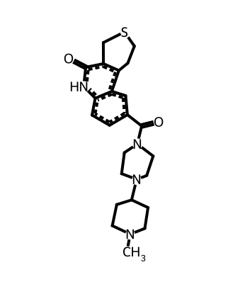 CN1CCC(N2CCN(C(=O)c3ccc4[nH]c(=O)c5c(c4c3)CCSC5)CC2)CC1